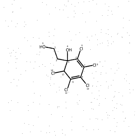 OCCC1(O)C(Cl)=C(Cl)C(Cl)=C(Cl)C1Cl